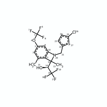 Cc1cc(OC(F)(F)F)cc2c1C(C)([C@H](O)C(F)(F)F)N2Cc1ccc(Cl)s1